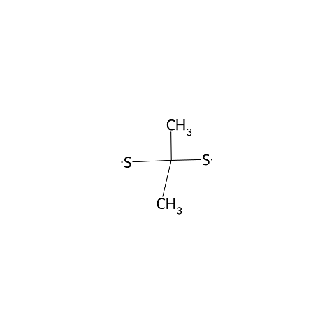 CC(C)([S])[S]